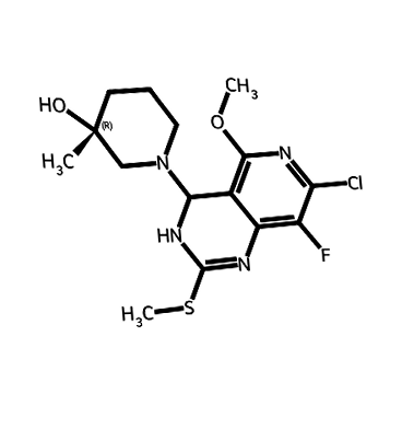 COc1nc(Cl)c(F)c2c1C(N1CCC[C@@](C)(O)C1)NC(SC)=N2